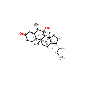 CCC1C2=CC(=O)CC[C@]2(C)[C@H]2CC[C@]3(C)[C@@H](C(C)COC(C)=O)CC[C@H]3[C@@H]2C1O